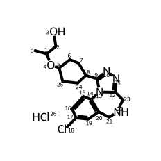 CC(CO)OC1CCC(c2nnc3n2-c2ccc(Cl)cc2CNC3)CC1.Cl